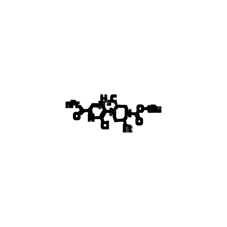 CCCC(=O)c1cnc(N2C[C@H](CC)N(C(=O)OC(C)(C)C)C[C@H]2C)c(Cl)n1